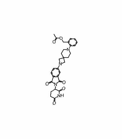 CC(=O)OCc1ccccc1N1CCC2(CC1)CN(c1ccc3c(c1)C(=O)N(C1CCC(=O)NC1=O)C3=O)C2